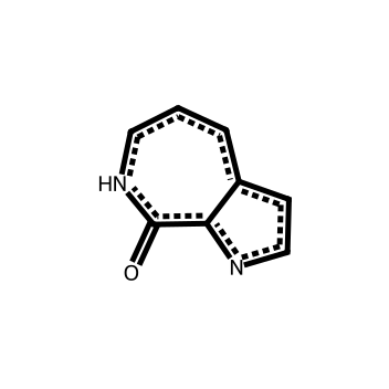 O=c1[nH]cccc2ccnc1-2